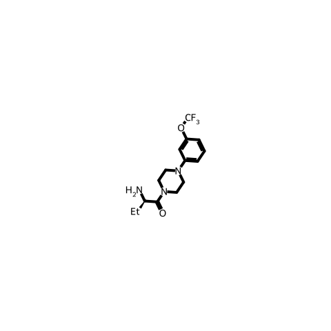 CC[C@@H](N)C(=O)N1CCN(c2cccc(OC(F)(F)F)c2)CC1